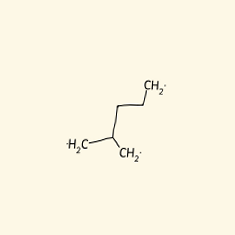 [CH2]CCC([CH2])[CH2]